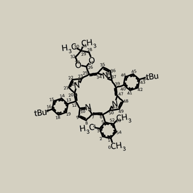 Cc1cc(C)c(C2=C3C=CC(=N3)C(c3ccc(C(C)(C)C)cc3)=C3C=CC(=N3)C(C3OCC(C)(C)CO3)=C3C=CC(=N3)C(c3ccc(C(C)(C)C)cc3)=C3C=CC2=N3)c(C)c1